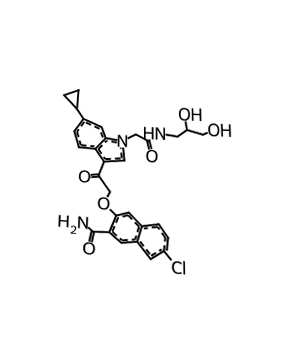 NC(=O)c1cc2cc(Cl)ccc2cc1OCC(=O)c1cn(CC(=O)NCC(O)CO)c2cc(C3CC3)ccc12